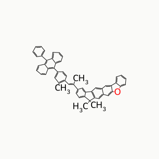 C/C(=C\c1ccc(-c2c3ccccc3c(-c3ccccc3)c3ccccc23)cc1C)c1ccc2c(c1)-c1cc3cc4c(cc3cc1C2(C)C)oc1ccccc14